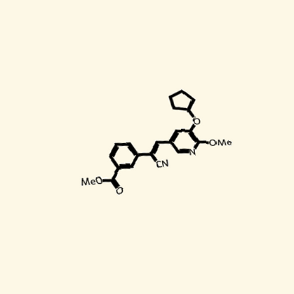 COC(=O)c1cccc(C(C#N)=Cc2cnc(OC)c(OC3CCCC3)c2)c1